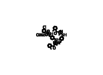 COc1ccc(Cl)cc1S(=O)(=O)NCc1ccc(Nc2ncc(C(=O)c3ccccc3C)s2)cc1.Cc1ccccc1C(=O)c1cnc(Nc2ccc(CN)cc2)s1